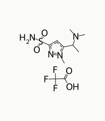 CC(c1cc(S(N)(=O)=O)nn1C)N(C)C.O=C(O)C(F)(F)F